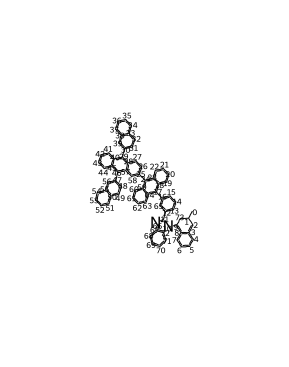 CC1C=c2ccccc2=C(n2c(-c3cccc(-c4c5ccccc5c(-c5ccc6c(-c7ccc8ccccc8c7)c7ccccc7c(-c7ccc8ccccc8c7)c6c5)c5ccccc45)c3)nc3ccccc32)C1